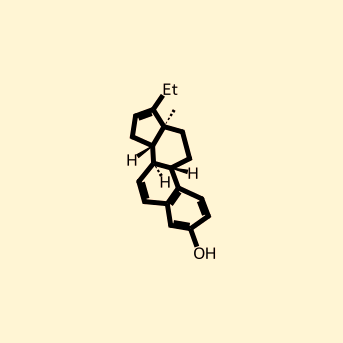 CCC1=CC[C@H]2[C@@H]3C=Cc4cc(O)ccc4[C@H]3CC[C@]12C